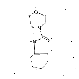 S=C(NC1CCCCC1)N1CCOCC1